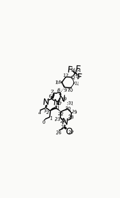 CCc1c(C)nc2cc([C@H]3CC[C@H](C(F)(F)F)CC3)nn2c1[C@@H]1CN(C(C)=O)CC[C@H]1C